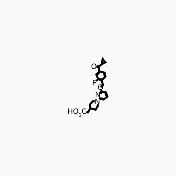 O=C(O)CC1CCN(c2cccc(OCc3ccc(C(=O)C4CC4)cc3F)n2)CC1